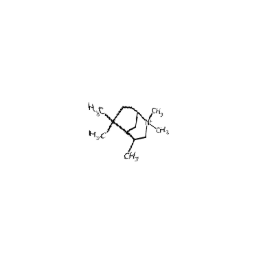 CC1C[N+](C)(C)C2CC1C(C)(C)C2